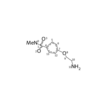 CNS(=O)(=O)c1ccc(OCCN)cc1